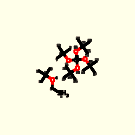 CC(C)(C)OC[SiH3].CC(C)(C)O[Si](OC(C)(C)C)(OC(C)(C)C)OC(C)(C)C